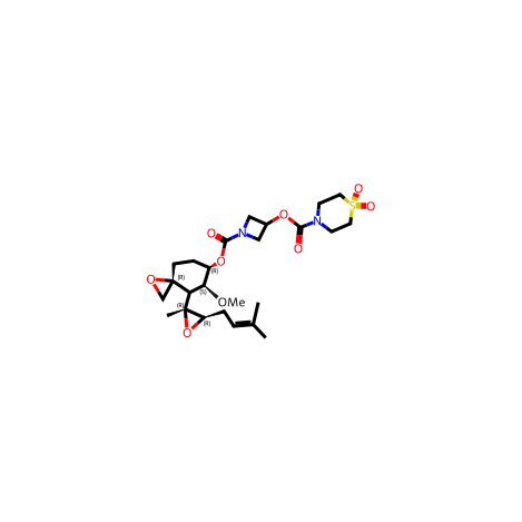 CO[C@H]1C([C@@]2(C)O[C@@H]2CC=C(C)C)[C@]2(CC[C@H]1OC(=O)N1CC(OC(=O)N3CCS(=O)(=O)CC3)C1)CO2